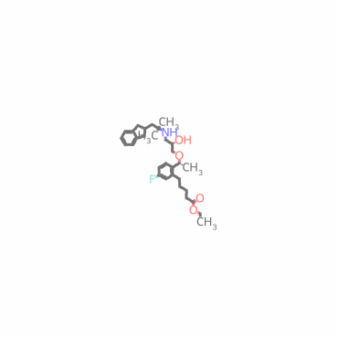 CCOC(=O)CCCCc1cc(F)ccc1[C@@H](C)OC[C@H](O)CNC(C)(C)CC1Cc2ccccc2C1